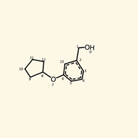 OCc1cccc(OC2CCCC2)c1